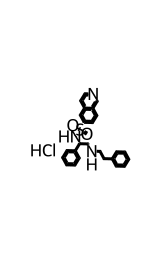 Cl.O=S(=O)(NC(CNCCc1ccccc1)c1ccccc1)c1ccc2cnccc2c1